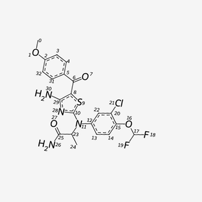 COc1ccc(C(=O)c2sc(N(c3ccc(OC(F)F)c(Cl)c3)C(C)C(N)=O)nc2N)cc1